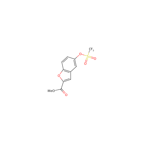 COC(=O)c1cc2cc(OS(=O)(=O)C(F)(F)F)ccc2o1